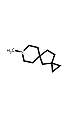 CN1CCC2(CC1)CCC1(CC1)C2